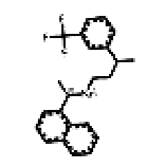 CC(CCN[C@H](C)c1cccc2ccccc12)c1cccc(C(F)(F)F)c1